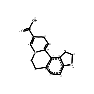 O=C(O)C1=CN2CCc3ccc4c(c3C2=CC1)CCO4